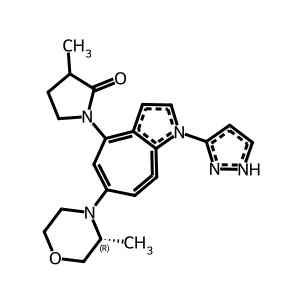 CC1CCN(C2=c3ccn(-c4cc[nH]n4)c3=C=CC(N3CCOC[C@H]3C)=C2)C1=O